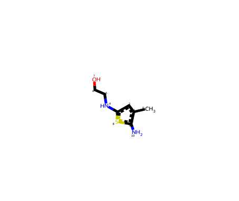 Cc1cc(NCCO)sc1N